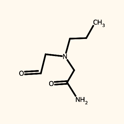 CCCN(CC=O)CC(N)=O